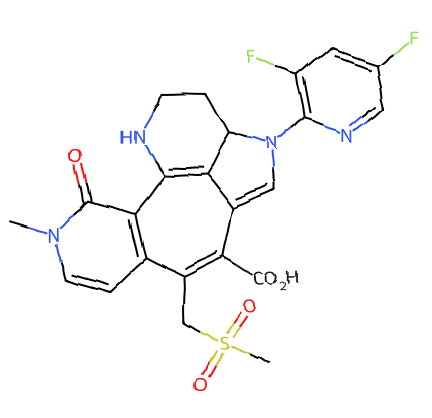 Cn1ccc2c(c1=O)C1=C3C(=CN(c4ncc(F)cc4F)C3CCN1)C(C(=O)O)=C2CS(C)(=O)=O